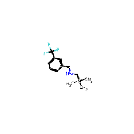 C[Si](C)(C)CNCc1cccc(C(F)(F)F)c1